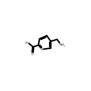 CCC(=O)c1ccc(CN)cn1